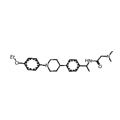 CCOc1ccc(N2CCC(c3ccc(C(C)NC(=O)CN(C)C)cc3)CC2)cc1